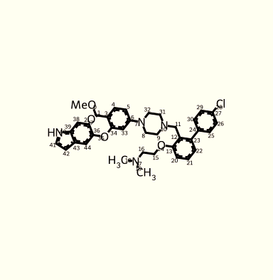 COC(=O)c1ccc(N2CCN(Cc3c(OCCN(C)C)cccc3-c3ccc(Cl)cc3)CC2)cc1Oc1ccc2[nH]ccc2c1